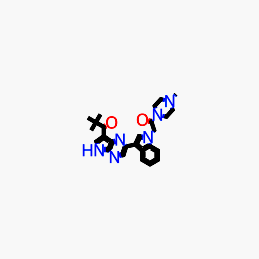 CN1CCN(C(=O)Cn2cc(-c3cnc4[nH]cc(C(=O)C(C)(C)C)c4n3)c3ccccc32)CC1